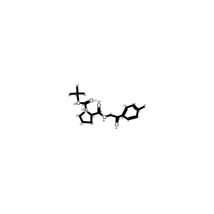 Cc1ccc(C(=O)COC(=O)C2CCCN2C(=O)OC(C)(C)C)cc1